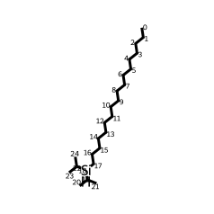 CCCCCCCCCCCCCCCCCC[SiH](C(C)C)C(C)C